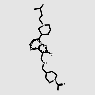 CC(=O)N1CCC(CNCc2c(Cl)nn3c(C4CCCN(CCC(C)C)C4)ccnc23)CC1